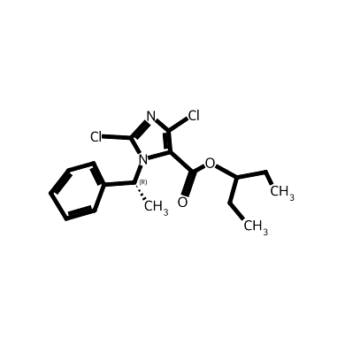 CCC(CC)OC(=O)c1c(Cl)nc(Cl)n1[C@H](C)c1ccccc1